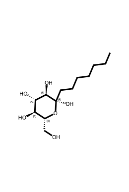 CCCCCCC[C@@]1(O)O[C@H](CO)[C@@H](O)[C@H](O)[C@H]1O